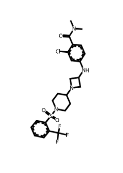 CN(C)C(=O)c1ccc(NC2CN(C3CCN(S(=O)(=O)c4ccccc4C(F)(F)F)CC3)C2)cc1Cl